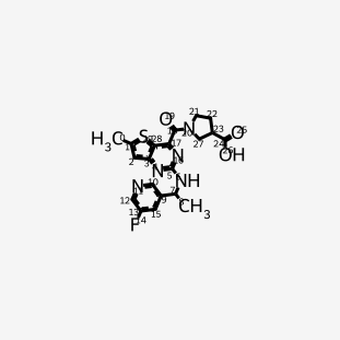 Cc1cc2nc(NC(C)c3cncc(F)c3)nc(C(=O)N3CCC(C(=O)O)C3)c2s1